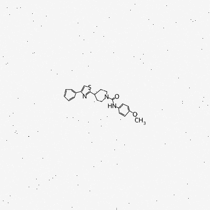 COc1ccc(NC(=O)N2CCC(c3nc(-c4ccccc4)cs3)CC2)cc1